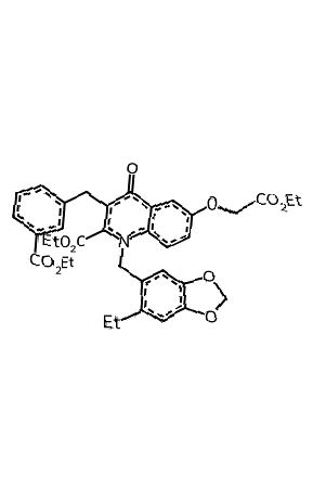 CCOC(=O)COc1ccc2c(c1)c(=O)c(Cc1cccc(C(=O)OCC)c1)c(C(=O)OCC)n2Cc1cc2c(cc1CC)OCO2